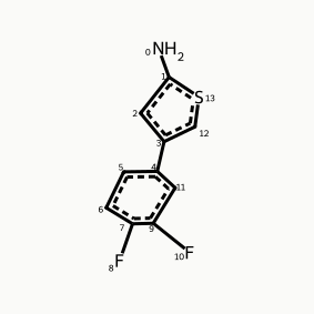 Nc1cc(-c2ccc(F)c(F)c2)cs1